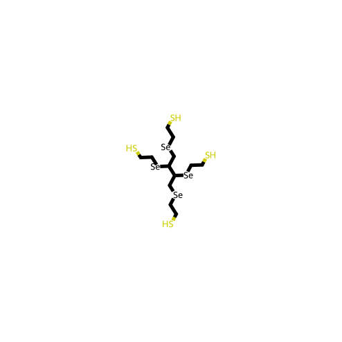 SCC[Se]CC([Se]CCS)C(C[Se]CCS)[Se]CCS